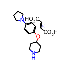 O=C(O)/C=C/C(=O)O.c1cc(N2CCCC2)ccc1OC1CCNCC1